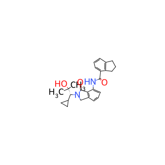 CC(C)(O)[C@@H](C1CC1)N1Cc2cccc(NC(=O)c3cccc4c3CCC4)c2C1=O